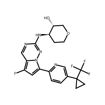 O[C@@H]1COCC[C@H]1Nc1ncc2c(F)cc(-c3ccc(C4(C(F)(F)F)CC4)cn3)n2n1